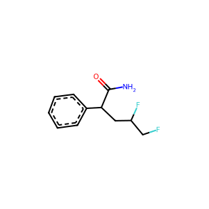 NC(=O)C(CC(F)CF)c1ccccc1